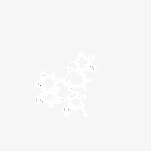 Cc1cnc(-c2c[nH]c3nccc(N4CCCC5(CCCN5)C4)c23)[nH]1